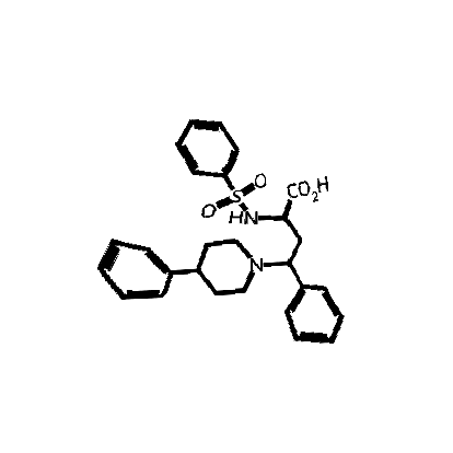 O=C(O)C(CC(c1ccccc1)N1CCC(c2ccccc2)CC1)NS(=O)(=O)c1ccccc1